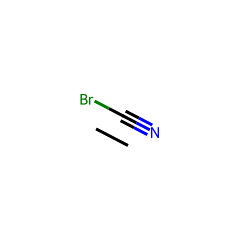 CC.N#CBr